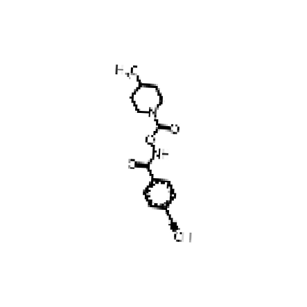 C#Cc1ccc(C(=O)NOC(=O)N2CCC(C)CC2)cc1